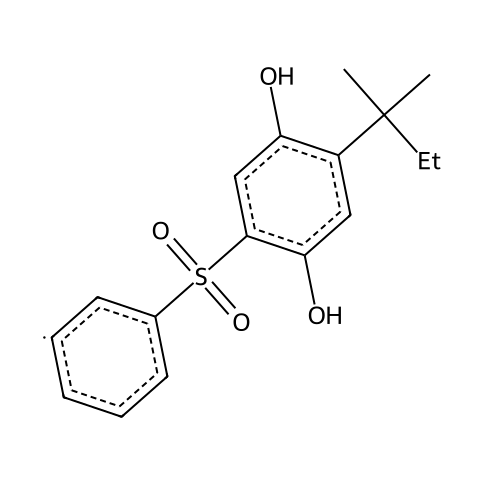 CCC(C)(C)c1cc(O)c(S(=O)(=O)c2c[c]ccc2)cc1O